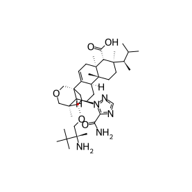 CC(C)[C@@H](C)[C@@]1(C)CC[C@]2(C)[C@H]3CC[C@@H]4[C@@]5(COC[C@]4(C)[C@@H](OC[C@](C)(N)C(C)(C)C)[C@H](n4ncnc4C(N)=O)C5)C3=CC[C@@]2(C)[C@@H]1C(=O)O